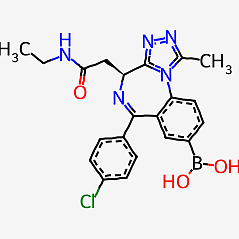 CCNC(=O)C[C@@H]1N=C(c2ccc(Cl)cc2)c2cc(B(O)O)ccc2-n2c(C)nnc21